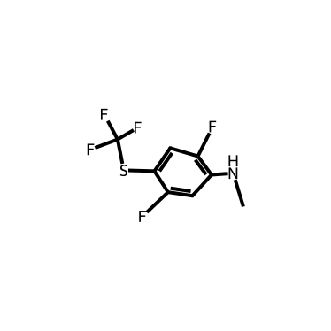 CNc1cc(F)c(SC(F)(F)F)cc1F